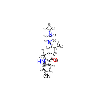 C=C(C)c1cc2c(cc1N1CCN(C3CCC3)CC1)C(C)(C)c1[nH]c3cc(C#N)ccc3c1C2=O